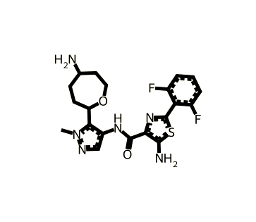 Cn1ncc(NC(=O)c2nc(-c3c(F)cccc3F)sc2N)c1C1CCC(N)CCO1